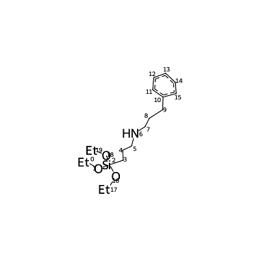 CCO[Si](CCCNCCCc1ccccc1)(OCC)OCC